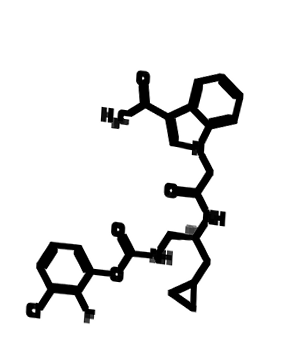 CC(=O)c1cn(CC(=O)N[C@H](CNC(=O)Oc2cccc(Cl)c2F)CC2CC2)c2ccccc12